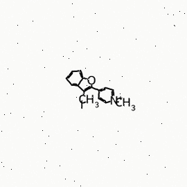 Cc1c(-c2cc[n+](C)cc2)oc2ccccc12.[I-]